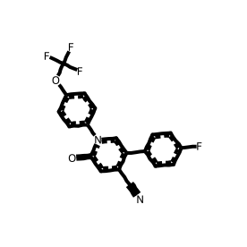 N#Cc1cc(=O)n(-c2ccc(OC(F)(F)F)cc2)cc1-c1ccc(F)cc1